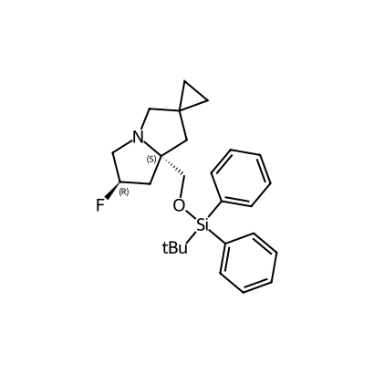 CC(C)(C)[Si](OC[C@]12C[C@@H](F)CN1CC1(CC1)C2)(c1ccccc1)c1ccccc1